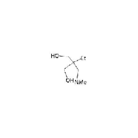 CCC(CO)(CO)CNC